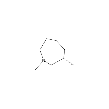 C[C@H]1CCCCN(C)C1